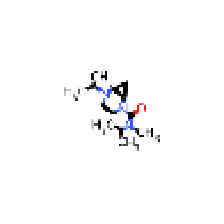 CC(C)N(C)C(=O)N1CCN(C(C)C)C2CC21